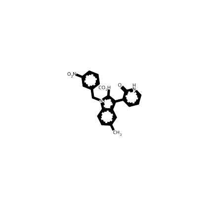 Cc1ccc2c(c1)c(-c1ccc[nH]c1=O)c(C(=O)O)n2Cc1cccc([N+](=O)[O-])c1